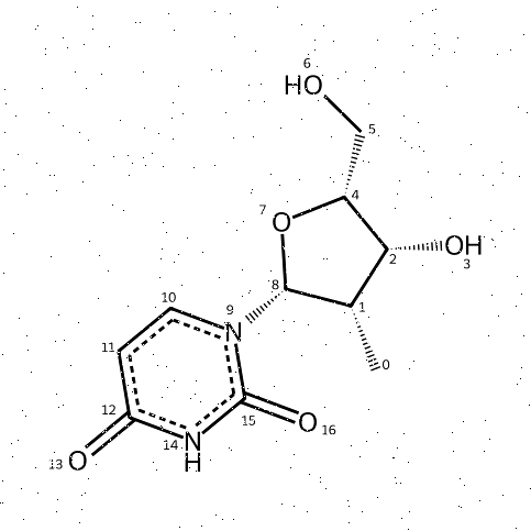 C[C@H]1[C@@H](O)[C@@H](CO)O[C@H]1n1ccc(=O)[nH]c1=O